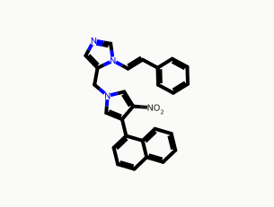 O=[N+]([O-])c1cn(Cc2cncn2C=Cc2ccccc2)cc1-c1cccc2ccccc12